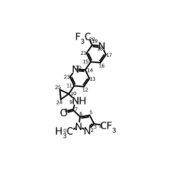 Cn1nc(C(F)(F)F)cc1C(=O)NC1(c2ccc(-c3ccnc(C(F)(F)F)c3)nc2)CC1